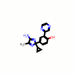 CC1=NC(c2ccc(O)c(-c3cnccn3)c2)(C2CC2)N=C1N